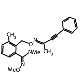 CN/C(=N/OC)c1cccc(C)c1CO/N=C(\C)C#Cc1ccccc1